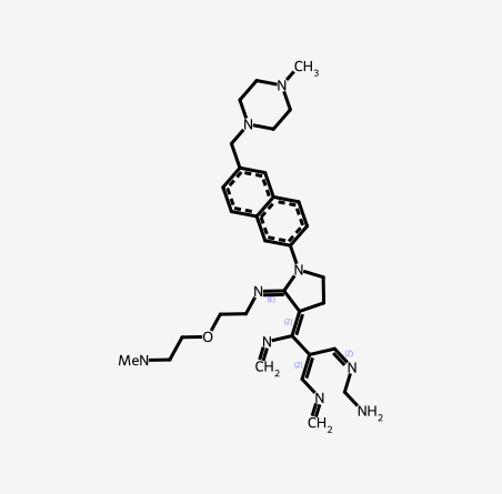 C=N/C=C(\C=N/CN)C(/N=C)=C1\CCN(c2ccc3cc(CN4CCN(C)CC4)ccc3c2)\C1=N\CCOCCNC